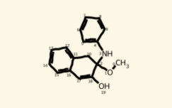 COC1(Nc2ccccc2)Cc2ccccc2C=C1O